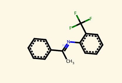 C/C(=N\c1ccccc1C(F)(F)F)c1ccccc1